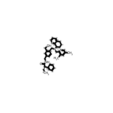 CC[C@@H](C(=O)NCc1ccc(CN(Cc2ncc(C)cc2C)C2CCCc3cccnc32)c(CO)c1)c1ccccc1